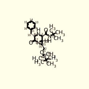 CC(C)(C)NC(=O)[C@@H]1N[C@@H](Cc2ccccc2)C(=O)N2[C@@H]1[C@H]2CO[Si](C)(C)C(C)(C)C